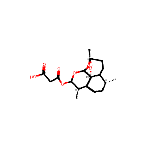 C[C@H]1C(OC(=O)CC(=O)O)OC2O[C@@]3(C)CCC4[C@H](C)CCC1[C@@]24OO3